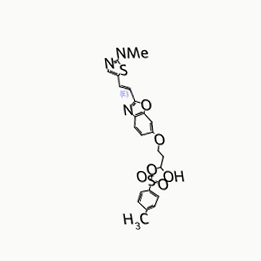 CNc1ncc(/C=C/c2nc3ccc(OCCC(O)OS(=O)(=O)c4ccc(C)cc4)cc3o2)s1